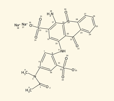 CC(=O)N(C)c1ccc(Nc2cc(S(=O)(=O)[O-])c(N)c3c2C(=O)c2ccccc2C3=O)c(S(=O)(=O)[O-])c1.[Na+].[Na+]